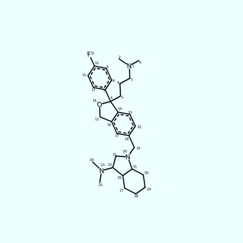 CN(C)CCCC1(c2ccc(F)cc2)OCc2cc(CN3CC(N(C)C)C4CCCCC43)ccc21